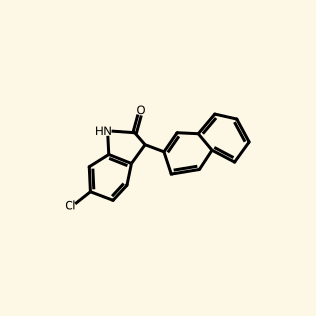 O=C1Nc2cc(Cl)ccc2C1c1ccc2ccccc2c1